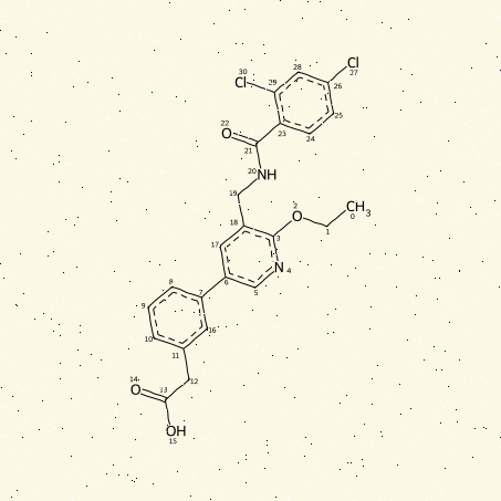 CCOc1ncc(-c2cccc(CC(=O)O)c2)cc1CNC(=O)c1ccc(Cl)cc1Cl